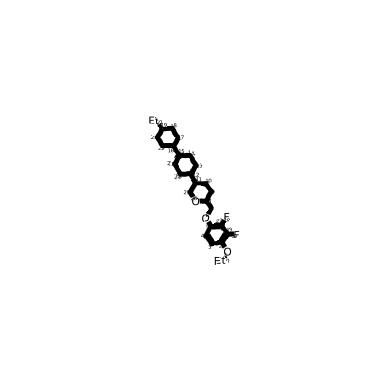 CCOc1ccc(OCC2CCC(C3CCC(C4CCC(CC)CC4)CC3)CO2)c(F)c1F